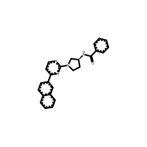 O=C(N[C@H]1CCN(c2nccc(-c3ccc4ccccc4c3)n2)C1)c1ccccc1